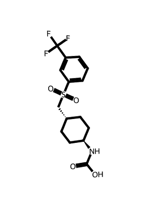 O=C(O)N[C@H]1CC[C@H](CS(=O)(=O)c2cccc(C(F)(F)F)c2)CC1